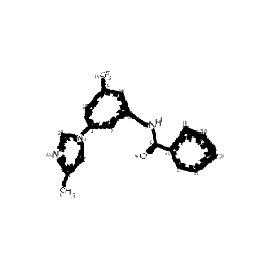 Cc1cn(-c2cc(NC(=O)c3ccccc3)cc(C(F)(F)F)c2)cn1